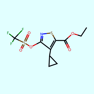 CCOC(=O)c1snc(OS(=O)(=O)C(F)(F)F)c1C1CC1